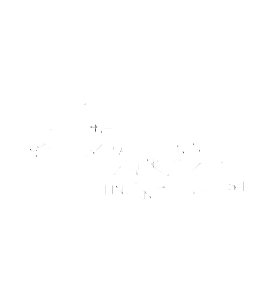 Cn1nc(-c2cnc3[nH]cc(OC(=O)N[C@@H]4CCC[C@@H](C#N)C4)c3n2)c2ccc(Cl)cc21